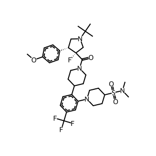 COc1ccc([C@@H]2CN(C(C)(C)C)C[C@@]2(F)C(=O)N2CCC(c3ccc(C(F)(F)F)cc3N3CCC(S(=O)(=O)N(C)C)CC3)CC2)cc1